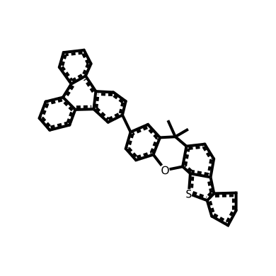 CC1(C)c2cc(-c3ccc4c5ccccc5c5ccccc5c4c3)ccc2Oc2c1ccc1c2sc2ccccc21